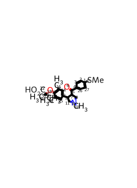 CSc1ccc(C(=O)C2CN(C)CC2c2cc(C)c(OC(C)(C)C(=O)O)c(C)c2)cc1